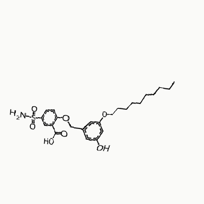 CCCCCCCCCCOc1cc(O)cc(COc2ccc(S(N)(=O)=O)cc2C(=O)O)c1